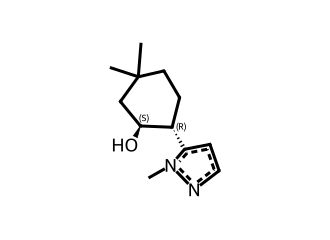 Cn1nccc1[C@H]1CCC(C)(C)C[C@@H]1O